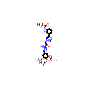 COc1cc(C=NNC(=O)Cn2cc(-c3cccc(NC(C)=O)c3)nn2)cc(OC)c1OC